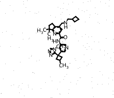 CC1CC(c2cncc(NC(=O)c3cc(CNCC4CCC4)c4c(n3)C(C)(C)CC4)c2)(c2nncn2C)C1